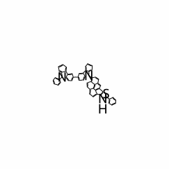 c1ccc(C2NC3=C(S2)c2cc4ccc(-n5c6ccccc6c6cc(-c7ccc8c(c7)c7ccccc7n8-c7ccccc7)ccc65)c5ccc6ccc3c2c6c45)cc1